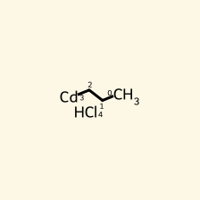 CC[CH2][Cd].Cl